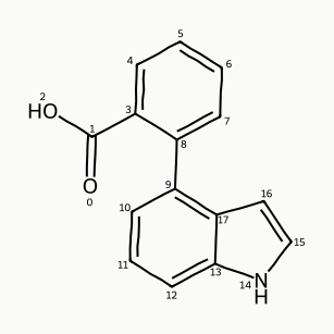 O=C(O)c1ccccc1-c1cccc2[nH]ccc12